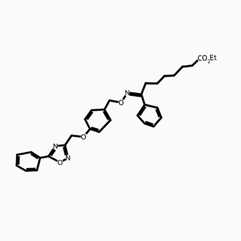 CCOC(=O)CCCCCCC(=NOCc1ccc(OCc2noc(-c3ccccc3)n2)cc1)c1ccccc1